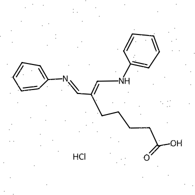 Cl.O=C(O)CCCCC(C=Nc1ccccc1)=CNc1ccccc1